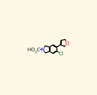 O=C(O)N1Cc2cc(Cl)c(C3=CCOC3)cc2C1